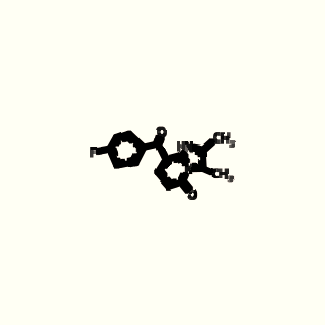 Cc1[nH]c2c(C(=O)c3ccc(F)cc3)ccc(=O)n2c1C